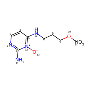 Nc1nccc(NCCCO[N+](=O)[O-])[n+]1[O-]